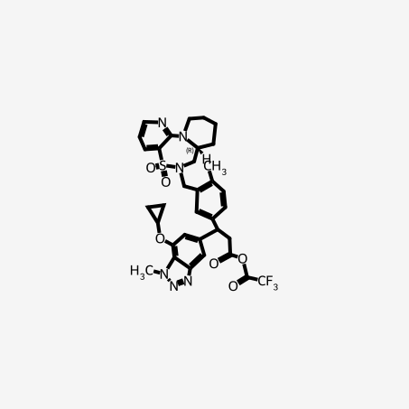 Cc1ccc(C(CC(=O)OC(=O)C(F)(F)F)c2cc(OC3CC3)c3c(c2)nnn3C)cc1CN1C[C@H]2CCCCN2c2ncccc2S1(=O)=O